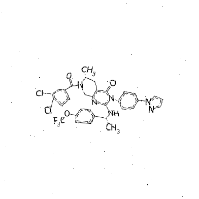 C[C@@H]1Cc2c(nc(N[C@H](C)c3ccc(OC(F)(F)F)cc3)n(-c3ccc(-n4cccn4)cc3)c2=O)CN1C(=O)c1ccc(Cl)c(Cl)c1